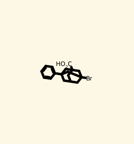 O=C(O)C12CC3CC(Br)(C1)CC(c1ccccc1)(C3)C2